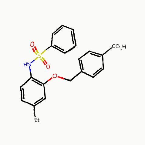 CCc1ccc(NS(=O)(=O)c2ccccc2)c(OCc2ccc(C(=O)O)cc2)c1